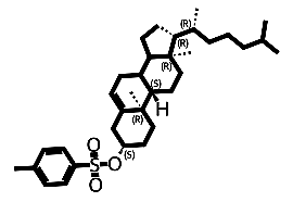 Cc1ccc(S(=O)(=O)O[C@H]2CC[C@@]3(C)C(=CCC4C5CC[C@H]([C@H](C)CCCC(C)C)[C@@]5(C)CC[C@@H]43)C2)cc1